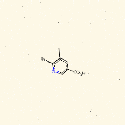 Cc1cc(C(=O)O)cnc1C(C)C